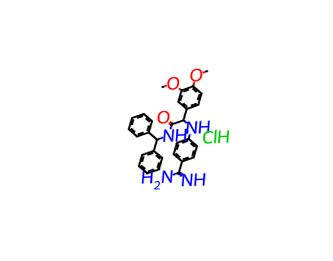 COc1ccc(C(Nc2ccc(C(=N)N)cc2)C(=O)NC(c2ccccc2)c2ccccc2)cc1OC.Cl